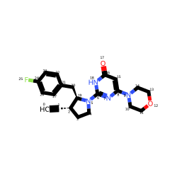 C#C[C@H]1CCN(c2nc(N3CCOCC3)cc(=O)[nH]2)[C@@H]1Cc1ccc(F)cc1